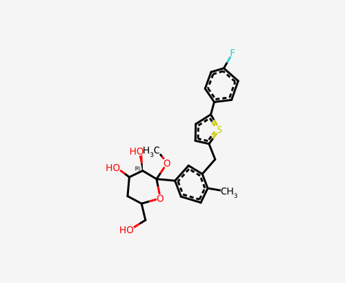 COC1(c2ccc(C)c(Cc3ccc(-c4ccc(F)cc4)s3)c2)OC(CO)CC(O)[C@H]1O